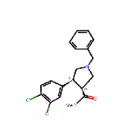 COC(=O)[C@@H]1CN(Cc2ccccc2)C[C@@H]1c1ccc(Cl)c(Cl)c1